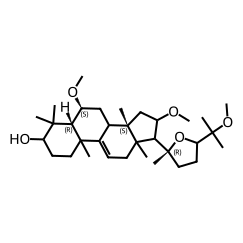 COC1C[C@@]2(C)C3C[C@H](OC)[C@@H]4C(C)(CCC(O)C4(C)C)C3=CCC2(C)C1[C@@]1(C)CCC(C(C)(C)OC)O1